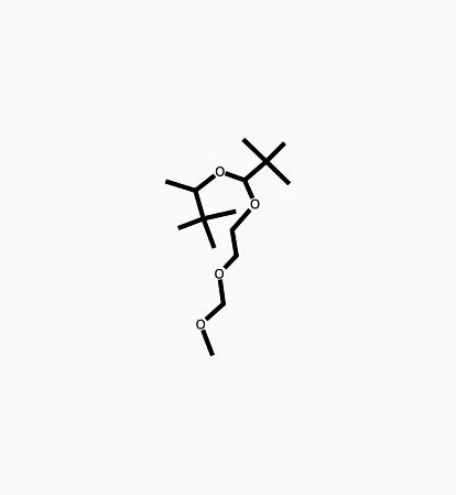 COCOCCOC(OC(C)C(C)(C)C)C(C)(C)C